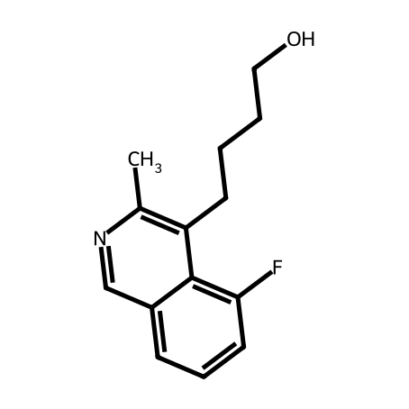 Cc1ncc2cccc(F)c2c1CCCCO